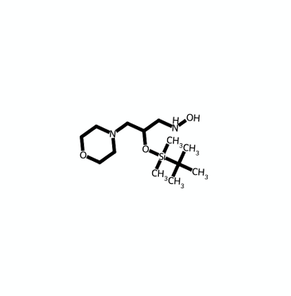 CC(C)(C)[Si](C)(C)OC(CNO)CN1CCOCC1